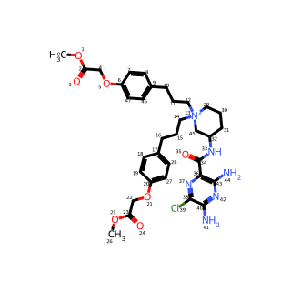 COC(=O)COc1ccc(CCC[N+]2(CCCc3ccc(OCC(=O)OC)cc3)CCCC(NC(=O)c3nc(Cl)c(N)nc3N)C2)cc1